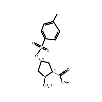 COC(=O)[C@H]1C[C@@H](OS(=O)(=O)c2ccc(C)cc2)CN1C(=O)O